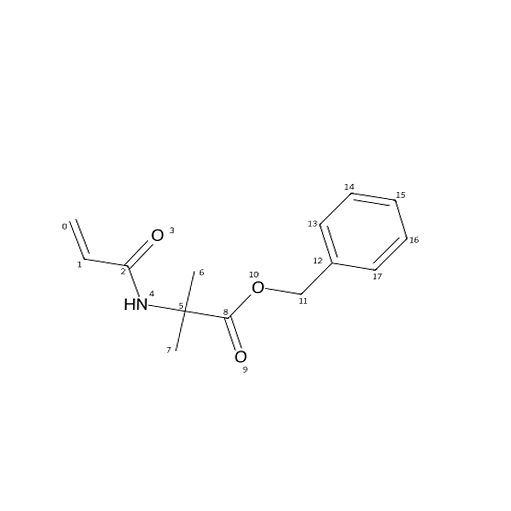 C=CC(=O)NC(C)(C)C(=O)OCc1ccccc1